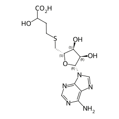 Nc1ncnc2c1ncn2[C@@H]1O[C@H](CSCCC(O)C(=O)O)[C@@H](O)[C@H]1O